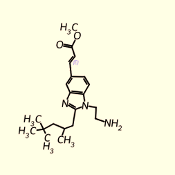 COC(=O)/C=C/c1ccc2c(c1)nc(CC(C)CC(C)(C)C)n2CCN